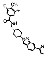 O=C(NC[C@H]1CC[C@H](n2cc3ccc(-c4cc(C5CC5)ncn4)cc3n2)CC1)c1cc(F)c(O)c(F)c1